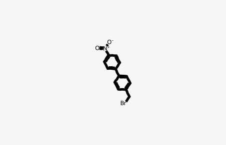 O=[N+]([O-])c1ccc(-c2ccc(CBr)cc2)cc1